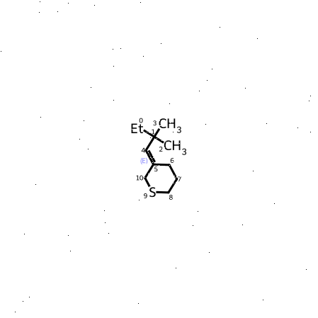 CCC(C)(C)/C=C1\CCCSC1